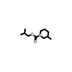 CC(C)COC(=O)N1CCCC(C)C1